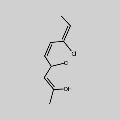 C/C=C(Cl)\C=C/C(Cl)C=C(C)O